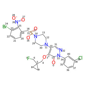 O=c1c(OCC2(CF)CC2)c(N2CCN(S(=O)(=O)Cc3cccc(Br)c3[N+](=O)[O-])CC2)cnn1-c1cccc(Cl)c1